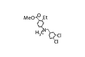 CCc1cc(N(C)Cc2ccc(Cl)c(Cl)c2)ccc1C(=O)OC